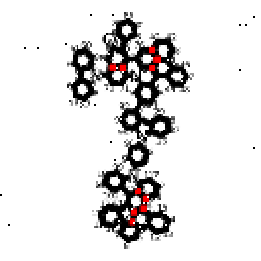 c1cc(-c2cc3ccccc3c3ccccc23)cc(N(c2ccc(-n3c4ccccc4c4c(-c5ccc(-c6cc7ccccc7c7ccccc67)c(N(c6ccc(-n7c8ccccc8c8ccccc87)cc6)c6ccccc6-c6cccc7oc8ccccc8c67)c5)cccc43)cc2)c2ccccc2-c2cccc3oc4ccccc4c23)c1